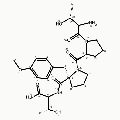 COc1ccc(C[C@@]2(C(=O)NC(C(N)=O)[C@@H](C)O)CCCN2C(=O)[C@@H]2CCCN2C(=O)C(N)[C@@H](C)O)cc1